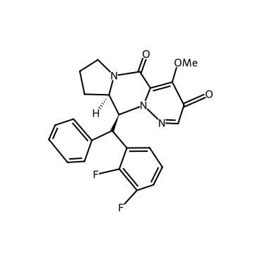 COc1c2n(ncc1=O)[C@@H](C(c1ccccc1)c1cccc(F)c1F)[C@H]1CCCN1C2=O